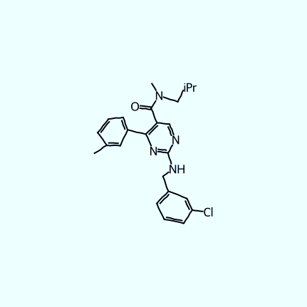 Cc1cccc(-c2nc(NCc3cccc(Cl)c3)ncc2C(=O)N(C)CC(C)C)c1